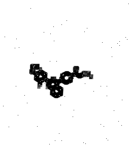 C=CC(=O)N1CCN(c2nc(-c3ccc(OC)cc3F)nc3ccccc23)CC1